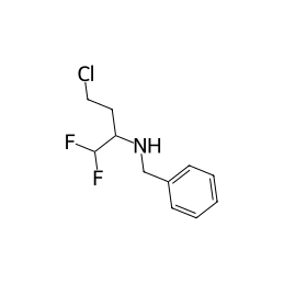 FC(F)C(CCCl)NCc1ccccc1